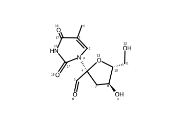 Cc1cn([C@@]2(C=O)C[C@H](O)[C@@H](CO)O2)c(=O)[nH]c1=O